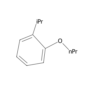 CCCOc1ccccc1C(C)C